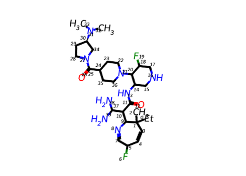 CCC1(C)C=CC(F)C=NC1C(C(=O)NC1CNCC(F)C1N1CCC(C(=O)N2CC[C@@H](N(C)C)C2)CC1)C(N)N